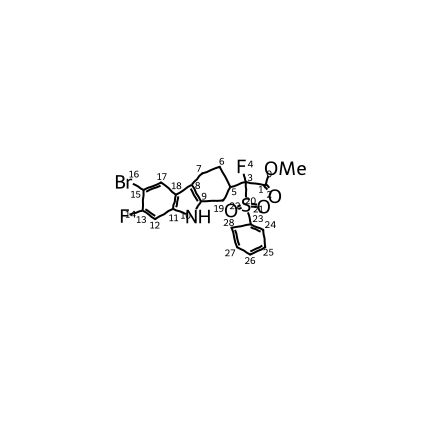 COC(=O)C(F)(C1CCc2c([nH]c3cc(F)c(Br)cc23)C1)S(=O)(=O)c1ccccc1